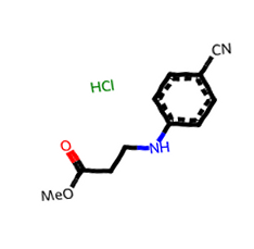 COC(=O)CCNc1ccc(C#N)cc1.Cl